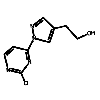 OCCc1cnn(-c2ccnc(Cl)n2)c1